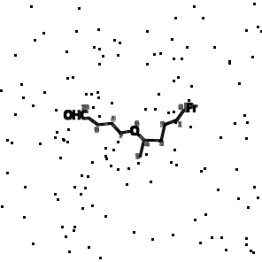 CC(C)CCCC(C)OCCCC=O